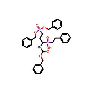 O=C(NC(CCP(=O)(OCc1ccccc1)OCc1ccccc1)P(=O)(O)CCc1ccccc1)OCc1ccccc1